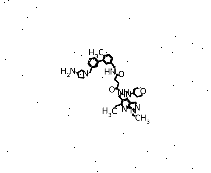 CCc1nc2c(cnn2CC)c(NC2CCOCC2)c1CNC(=O)CCC(=O)NCc1ccc(C)c(-c2cccc(CN3CC[C@H](N)C3)c2)c1